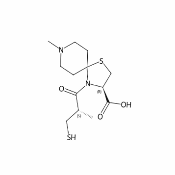 C[C@H](CS)C(=O)N1[C@H](C(=O)O)CSC12CCN(C)CC2